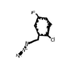 [N-]=[N+]=NCc1cc(F)ccc1Cl